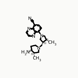 C[C@H]1CN(c2ccc(C#N)c3nccnc23)C[C@@H]1CN1CC[C@@H](N)[C@@H](C)C1